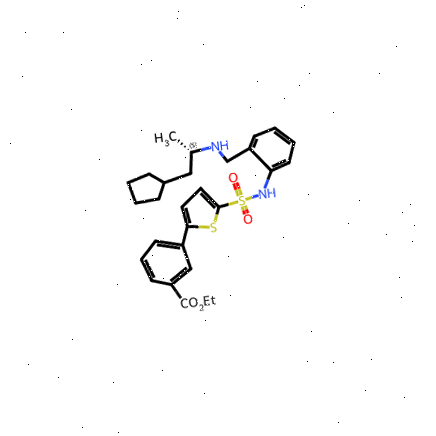 CCOC(=O)c1cccc(-c2ccc(S(=O)(=O)Nc3ccccc3CN[C@@H](C)CC3CCCC3)s2)c1